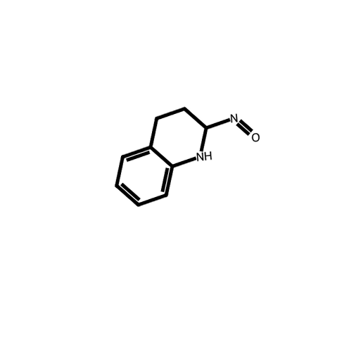 O=NC1CCc2ccccc2N1